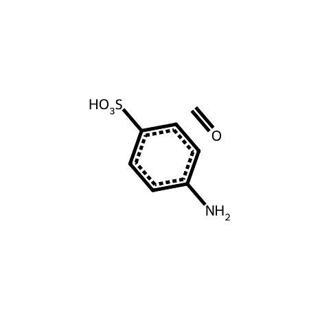 C=O.Nc1ccc(S(=O)(=O)O)cc1